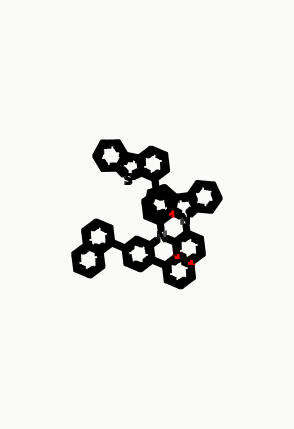 c1ccc(-c2ccc(-c3cccc4ccccc34)cc2N(c2ccc(-c3cccc4c3sc3ccccc34)cc2)c2ccccc2-n2c3ccccc3c3ccccc32)cc1